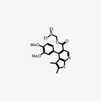 CCN(CC)COC(=O)c1cnc2sc(C)c(C)c2c1-c1ccc(OC)c(OC)c1